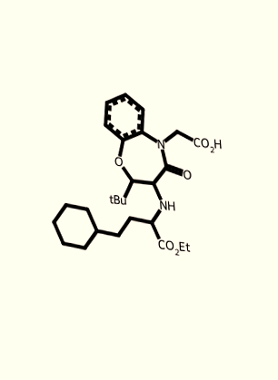 CCOC(=O)C(CCC1CCCCC1)NC1C(=O)N(CC(=O)O)c2ccccc2OC1C(C)(C)C